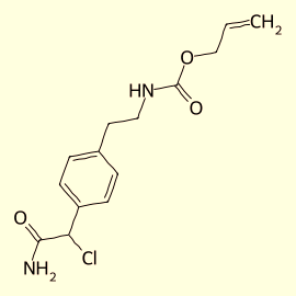 C=CCOC(=O)NCCc1ccc(C(Cl)C(N)=O)cc1